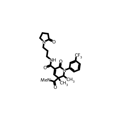 CNC(=O)C1(C)C=C(C(=O)NCCCN2CCCC2=O)C(=O)N(c2cccc(C(F)(F)F)c2)C1C